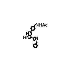 CC(=O)NCc1ccc(-c2cnc3[nH]cc(-c4cnn(Cc5ccccc5)c4)c3c2)cc1